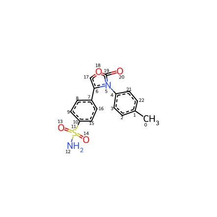 Cc1ccc(-n2c(-c3ccc(S(N)(=O)=O)cc3)coc2=O)cc1